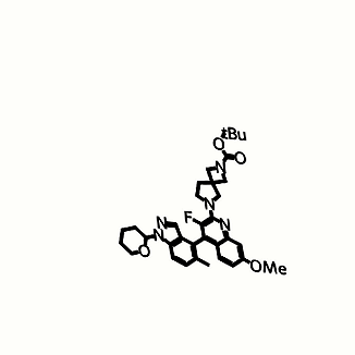 COc1ccc2c(-c3c(C)ccc4c3cnn4C3CCCCO3)c(F)c(N3CCC4(CN(C(=O)OC(C)(C)C)C4)C3)nc2c1